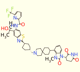 Cn1c(=O)n(C2CCC(=O)NC2=O)c2cccc(C3CCC4(CC3)CCN(C[C@H]3CC[C@H](c5nc6cc(C(C)(C)O)c(NC(=O)c7cccc(C(F)(F)F)n7)cc6s5)CC3)CC4)c21